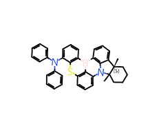 CC12CCCC[C@@]1(C)c1cccc3c1N2c1cccc2c1B3c1cccc(N(c3ccccc3)c3ccccc3)c1S2